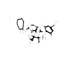 [2H]C1([2H])OCC([2H])(n2c(Nc3c(F)cc(F)cc3F)nc3cnc(NC4CCC(O)CC4)nc32)C1([2H])[2H]